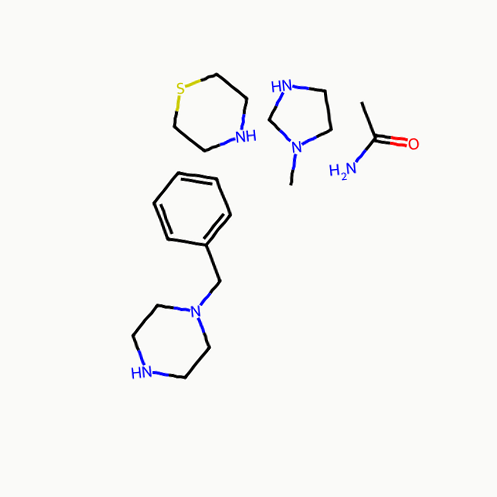 C1CSCCN1.CC(N)=O.CN1CCNC1.c1ccc(CN2CCNCC2)cc1